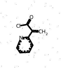 C=C(C(=O)Cl)c1ccccn1